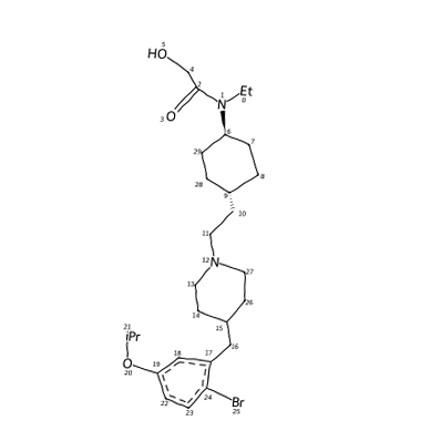 CCN(C(=O)CO)[C@H]1CC[C@H](CCN2CCC(Cc3cc(OC(C)C)ccc3Br)CC2)CC1